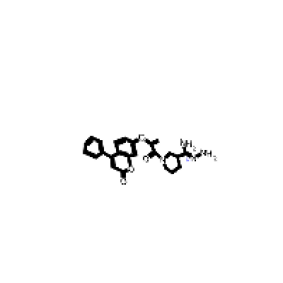 CC(Oc1ccc2c(-c3ccccc3)cc(=O)oc2c1)C(=O)N1CCCC(/C(N)=N/N)C1